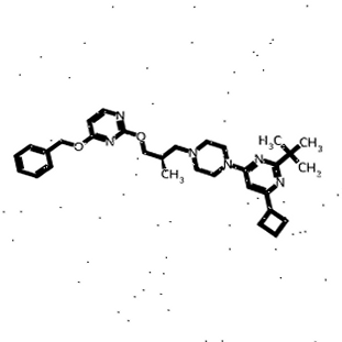 C[C@@H](COc1nccc(OCc2ccccc2)n1)CN1CCN(c2cc(C3CCC3)nc(C(C)(C)C)n2)CC1